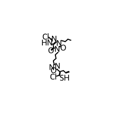 C=CC/C(=C(\S)Cl)c1nc(CCCCn2c(=O)c3[nH]c(Cl)nc3n(CCCC)c2=O)no1